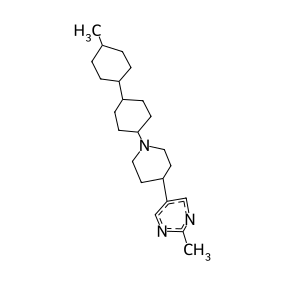 Cc1ncc(C2CCN(C3CCC(C4CCC(C)CC4)CC3)CC2)cn1